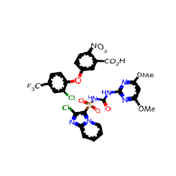 COc1cc(OC)nc(NC(=O)NS(=O)(=O)c2c(Cl)nc3ccccn23)n1.O=C(O)c1cc(Oc2ccc(C(F)(F)F)cc2Cl)ccc1[N+](=O)[O-]